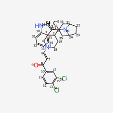 CC(C1CCN(/C=C/C(=O)c2ccc(Cl)c(Cl)c2)CC1)N1C2CCC1CC(c1c[nH]c3ccccc13)C2